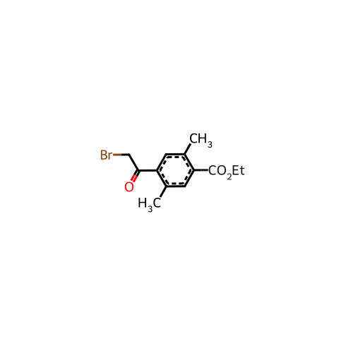 CCOC(=O)c1cc(C)c(C(=O)CBr)cc1C